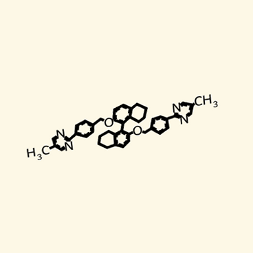 Cc1cnc(-c2ccc(COc3ccc4c(c3-c3c(OCc5ccc(-c6ncc(C)cn6)cc5)ccc5c3CCCC5)CCCC4)cc2)nc1